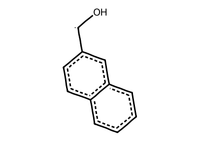 O[CH]c1ccc2ccccc2c1